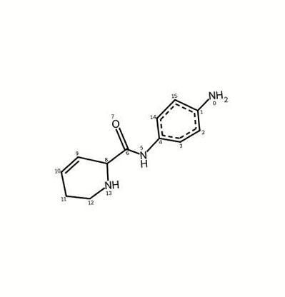 Nc1ccc(NC(=O)C2C=CCCN2)cc1